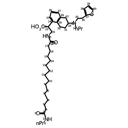 CCCNC(=O)CCCCCCCCCCCCCCC(=O)NCC(C(=O)O)c1cccc2c1CCC(N(CCC)CCc1cccs1)C2